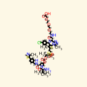 Cc1ncsc1-c1ccc(CNC(=O)[C@@H]2C[C@@H](OC(=O)OCC(C)(C)SS(=O)(=O)CCc3sc4c(c3C)C(c3ccc(Cl)cc3)=N[C@@H](CC(=O)NCCOCCOCCOCC(=O)O)c3nnc(C)n3-4)CN2C(=O)[C@@H](N)C(C)(C)C)cc1